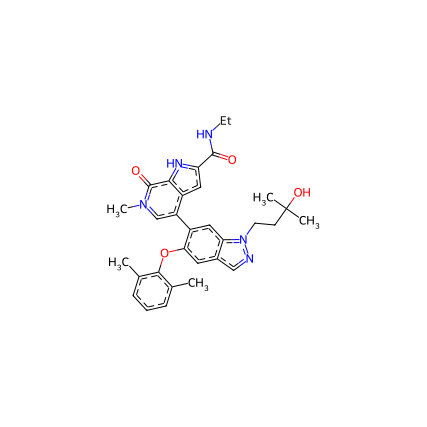 CCNC(=O)c1cc2c(-c3cc4c(cnn4CCC(C)(C)O)cc3Oc3c(C)cccc3C)cn(C)c(=O)c2[nH]1